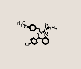 COc1ccc(CN2N=C(c3ccc(Cl)cc3)c3ccccc3N=C2NN)cc1